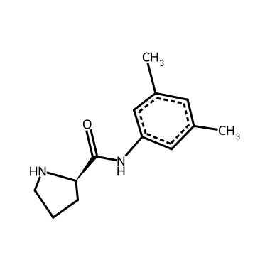 Cc1cc(C)cc(NC(=O)[C@H]2CCCN2)c1